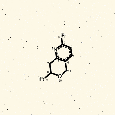 CC(C)c1ccc2c(n1)CC(C(C)C)OC2